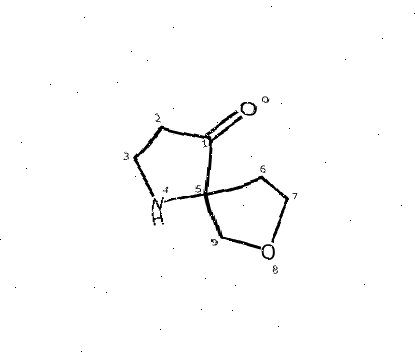 O=C1CCNC12CCOC2